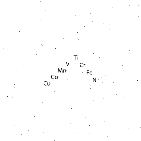 [Co].[Cr].[Cu].[Fe].[Mn].[Ni].[Ti].[V]